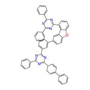 C1=CC(c2nc(-c3ccccc3)nc(-c3cccc(-c4ccc5oc6cccc(-c7nc(-c8ccccc8)nc(-c8ccccc8)n7)c6c5c4)c3)n2)CC=C1c1ccccc1